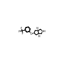 FC(F)(F)c1cccc(O[C@H]2C[C@H]3CNC[C@H]3C2)c1